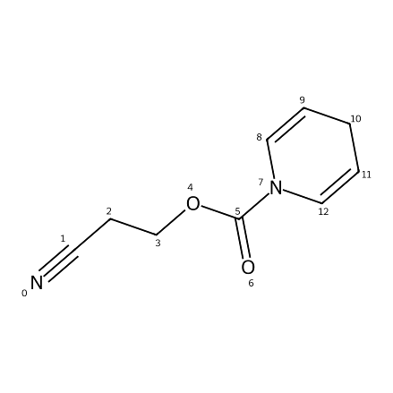 N#CCCOC(=O)N1C=CCC=C1